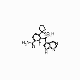 NC(=O)c1ccc(C2(S(=O)(=O)O)CCCC2)c(C(=O)c2c[nH]c3ncncc23)c1F